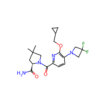 CC1(C)C[C@H](C(N)=O)N(C(=O)c2ccc(N3CC(F)(F)C3)c(OCC3CC3)n2)C1